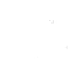 CCC[C](N)C(=O)O